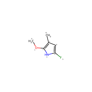 COc1[nH]c(F)cc1C